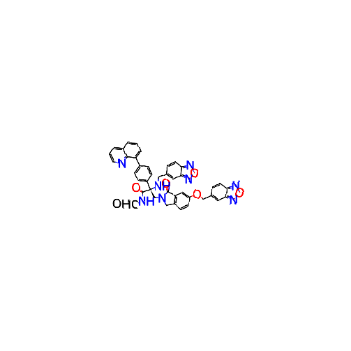 O=CNC(=O)[C@@](CN1Cc2ccc(OCc3ccc4nonc4c3)cc2C1=O)(NCc1ccc2nonc2c1)c1ccc(-c2cccc3cccnc23)cc1